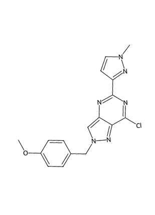 COc1ccc(Cn2cc3nc(-c4ccn(C)n4)nc(Cl)c3n2)cc1